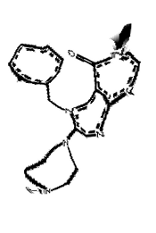 Cn1cnc2nc(N3CCNCC3)n(Cc3ccccc3)c2c1=O